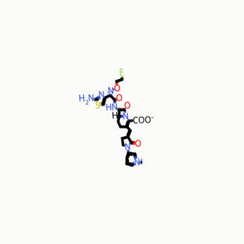 C[n+]1cccc(N2CCC(=CC3=C(C(=O)[O-])N4C(=O)[C@@H](NC(=O)/C(=N\OCCF)c5csc(N)n5)[C@H]4CC3)C2=O)c1